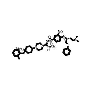 COC1(Cc2ccccc2C)CCC(N2CCN(/C(=N/S(=O)(=O)c3ccc(N[C@H](CCN(C)C)CSc4ccccc4)c([N+](=O)[O-])c3)NC#N)CC2)CC1